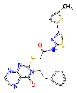 Cc1ccc(-c2csc(NC(=O)CSc3nc4nccnc4c(=O)n3CCc3ccccc3)n2)s1